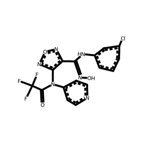 O=C(N(c1ccncc1)c1nonc1C(=NO)Nc1cccc(Cl)c1)C(F)(F)F